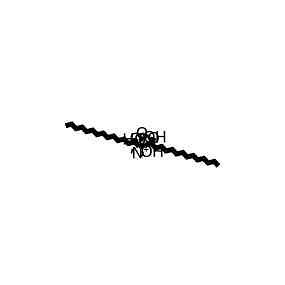 CCCCCCCCCCCCCC(=O)C(C(O)(C(=O)CCCCCCCCCCCCC)P(=O)(O)O)[N+](C)(C)C